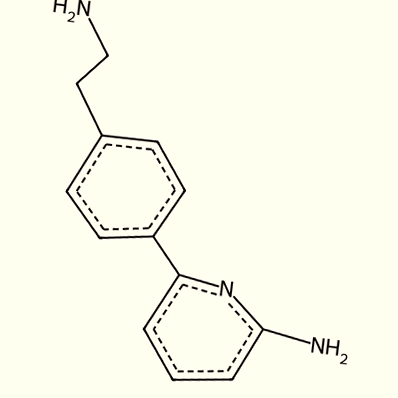 NCCc1ccc(-c2cccc(N)n2)cc1